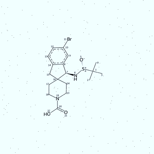 CC(C)(C)[S@@+]([O-])N[C@@H]1c2cc(Br)ccc2CC12CCN(C(=O)O)CC2